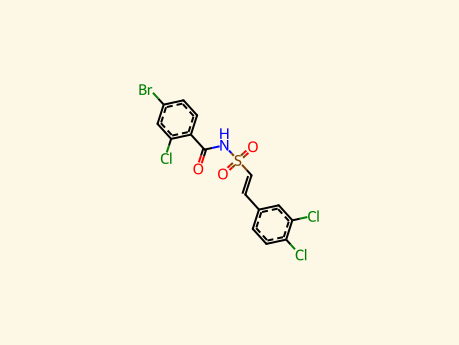 O=C(NS(=O)(=O)C=Cc1ccc(Cl)c(Cl)c1)c1ccc(Br)cc1Cl